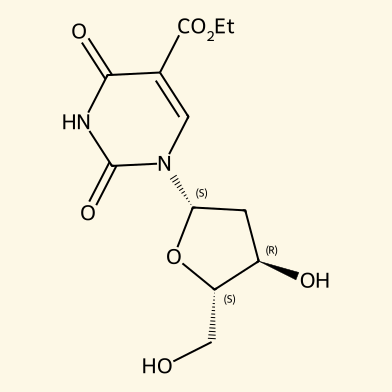 CCOC(=O)c1cn([C@@H]2C[C@@H](O)[C@H](CO)O2)c(=O)[nH]c1=O